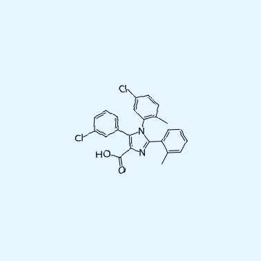 Cc1ccccc1-c1nc(C(=O)O)c(-c2cccc(Cl)c2)n1-c1cc(Cl)ccc1C